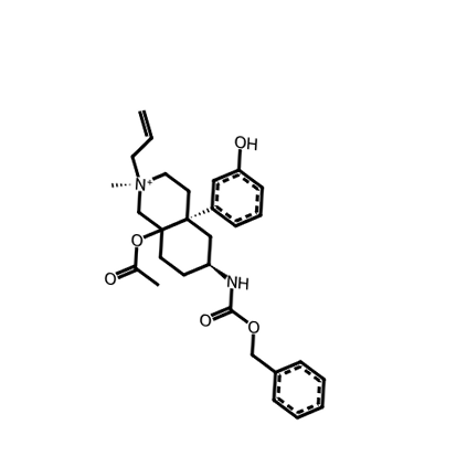 C=CC[N@@+]1(C)CC[C@@]2(c3cccc(O)c3)C[C@@H](NC(=O)OCc3ccccc3)CCC2(OC(C)=O)C1